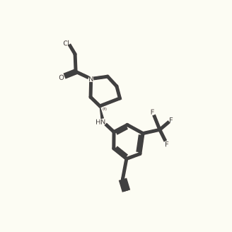 C#Cc1cc(N[C@@H]2CCCN(C(=O)CCl)C2)cc(C(F)(F)F)c1